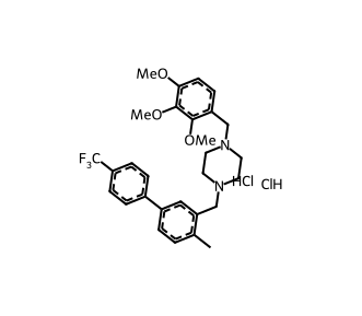 COc1ccc(CN2CCN(Cc3cc(-c4ccc(C(F)(F)F)cc4)ccc3C)CC2)c(OC)c1OC.Cl.Cl